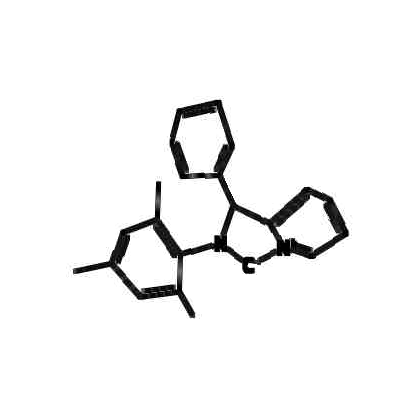 Cc1cc(C)c(N2[CH-][n+]3ccccc3C2c2ccccc2)c(C)c1